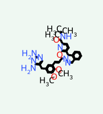 COc1cc(Cc2cnc(N)nc2N)cc(C=CC(=O)N2N=Cc3ccccc3C2c2ccc(C(=O)NC(C)(C)C)nc2)c1OC